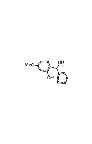 COc1ccc(C(O)c2ccccc2)c(O)c1